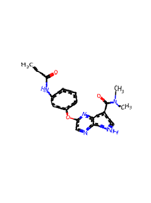 C=CC(=O)Nc1cccc(Oc2cnc3[nH]cc(C(=O)N(C)C)c3n2)c1